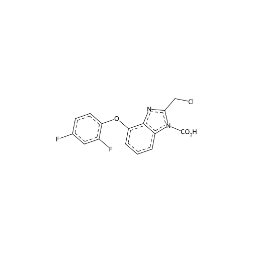 O=C(O)n1c(CCl)nc2c(Oc3ccc(F)cc3F)cccc21